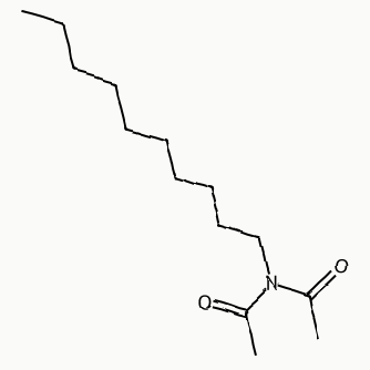 CCCCCCCCCCN(C(C)=O)C(C)=O